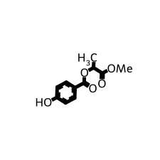 COC(=O)C(C)OC(=O)c1ccc(O)cc1